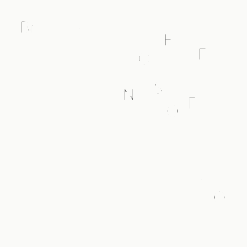 COc1ccc(CN(c2ccc(Br)cc2)S(=O)(=O)C(F)(F)F)cc1